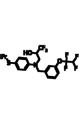 CC(C)Sc1ccc(N(Cc2cccc(OC(F)(F)C(F)F)c2)CC(O)C(F)(F)F)cc1